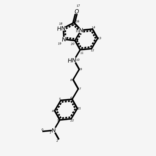 CN(C)c1ccc(CCCNc2cccn3c(=O)[nH]nc23)cc1